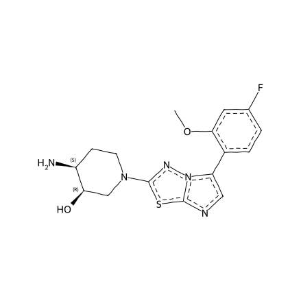 COc1cc(F)ccc1-c1cnc2sc(N3CC[C@H](N)[C@H](O)C3)nn12